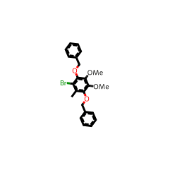 COc1c(OCc2ccccc2)c(C)c(Br)c(OCc2ccccc2)c1OC